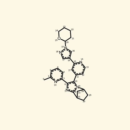 Cc1cccc(-c2nc3n(c2-c2ccnc(-c4cnn(C5CCCCO5)c4)c2)C2CCC3C2)n1